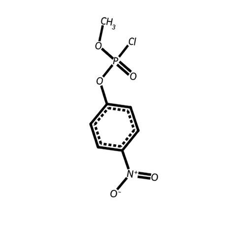 COP(=O)(Cl)Oc1ccc([N+](=O)[O-])cc1